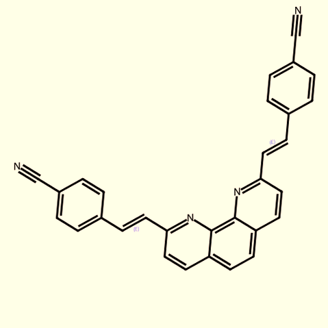 N#Cc1ccc(/C=C/c2ccc3ccc4ccc(/C=C/c5ccc(C#N)cc5)nc4c3n2)cc1